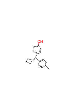 Cc1ccc(C(=C2CCC2)c2ccc(O)cc2)cc1